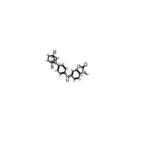 Cn1c(=O)oc2cc(Nc3ccc(N4C[C@H]5CC[C@@H]4C5)cc3)ccc21